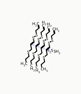 C=CCSS/C=C/CSCCC.C=CCSS/C=C/CSCCC.C=CCSS/C=C/CSCCC.C=CCSS/C=C/CSCCC.S.S